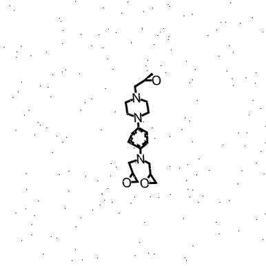 c1cc(N(CC2CO2)CC2CO2)ccc1N1CCN(CC2CO2)CC1